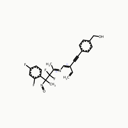 C=C/C(C#Cc1ccc(CO)cc1)=C\N=C(/C)C(F)(F)C(C)(N=O)c1ccc(F)cc1F